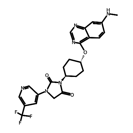 CNc1ccc2c(O[C@H]3CC[C@H](N4C(=O)CN(c5cncc(C(F)(F)F)c5)C4=O)CC3)ncnc2c1